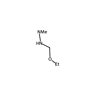 CCOCNNC